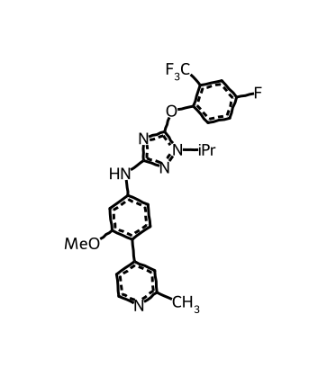 COc1cc(Nc2nc(Oc3ccc(F)cc3C(F)(F)F)n(C(C)C)n2)ccc1-c1ccnc(C)c1